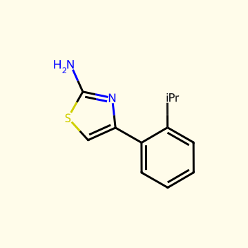 CC(C)c1ccccc1-c1csc(N)n1